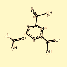 O=C(O)O.O=C(O)c1cccc(C(=O)O)n1